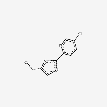 ClCc1coc(-c2ccc(Cl)cn2)n1